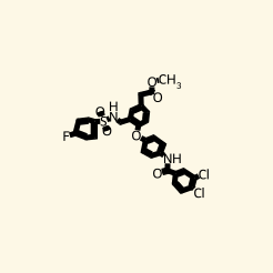 COC(=O)Cc1ccc(Oc2ccc(NC(=O)c3ccc(Cl)c(Cl)c3)cc2)c(CNS(=O)(=O)c2ccc(F)cc2)c1